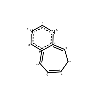 C1=CCC=c2ncncc2=C1